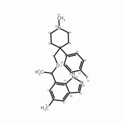 Cc1cc(C(C)OCC2(c3ccc(F)cc3)CCN(C)CC2)c2[nH]ncc2c1